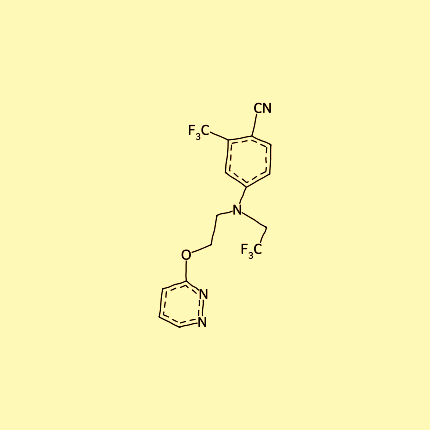 N#Cc1ccc(N(CCOc2cccnn2)CC(F)(F)F)cc1C(F)(F)F